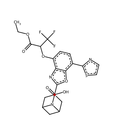 CCOC(=O)C(Oc1ccc(-c2nccs2)c2oc(N3CC4CC(C3)N4C(=O)O)nc12)C(F)(F)F